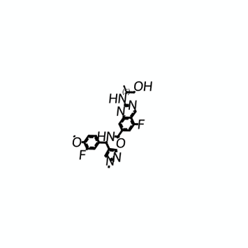 COc1ccc(C(NC(=O)c2cc(F)c3cnc(N[C@@H](C)CO)nc3c2)c2cnn(C)c2)cc1F